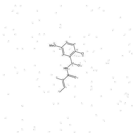 C/C=C(\C)C(=O)N[S+]([O-])c1cc(OC)ccc1Cl